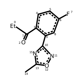 CCC(=O)c1ccc(F)cc1-c1noc(C)n1